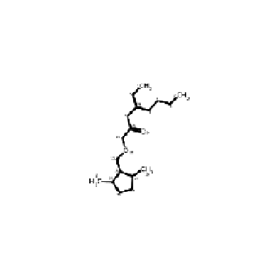 CCCCC(CC)CC(=O)COCC1C(C)CCC1C